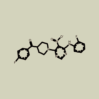 O=C(c1ccc(F)cc1)C1CCN(c2ncnc(Nc3ccccc3F)c2[N+](=O)[O-])CC1